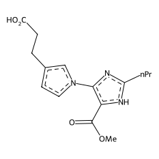 CCCc1nc(-n2ccc(CCC(=O)O)c2)c(C(=O)OC)[nH]1